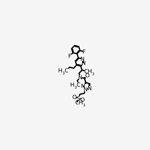 CCCc1cc(-c2c(F)cccc2F)nnc1C(C)CN(CC)C(=O)c1cnn(CCS(C)(=O)=O)n1